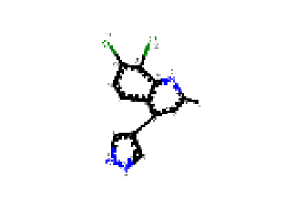 Cc1cc(-c2cn[nH]c2)c2ccc(Cl)c(Cl)c2n1